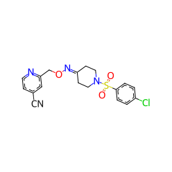 N#Cc1ccnc(CON=C2CCN(S(=O)(=O)c3ccc(Cl)cc3)CC2)c1